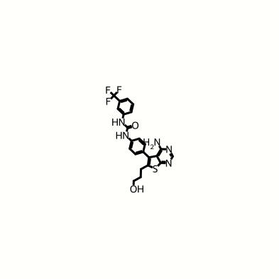 Nc1ncnc2sc(CCCO)c(-c3ccc(NC(=O)Nc4cccc(C(F)(F)F)c4)cc3)c12